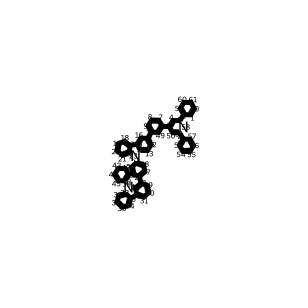 C1=CC(c2cc(-c3cccc(-c4ccc5c(c4)c4ccccc4n5-c4ccc(-c5cccc6c7ccccc7n(C7=CCCC=C7)c56)cc4)c3)cc(-c3ccccc3)n2)=CCC1